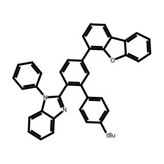 CC(C)(C)c1ccc(-c2cc(-c3cccc4c3oc3ccccc34)ccc2-c2nc3ccccc3n2-c2ccccc2)cc1